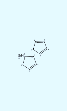 C1=CCC=C1.C1=CCC=C1.[SrH2]